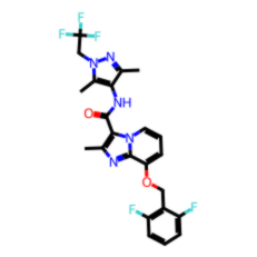 Cc1nn(CC(F)(F)F)c(C)c1NC(=O)c1c(C)nc2c(OCc3c(F)cccc3F)cccn12